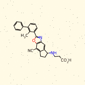 Cc1c(-c2ccccc2)cccc1-c1nc2cc3c(c(C#N)c2o1)CCC3NCCC(=O)O